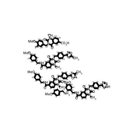 COc1ccc(CN)cc1.COc1ccc(CNC(=O)c2ccc3c(c2)c(=O)n(Cc2ccc(-c4nc(C)no4)cc2)c(=O)n3C)cc1.COc1ccc(CNC(=O)c2ccc3c(c2)c(=O)n(Cc2ccc(-c4nn[nH]n4)cc2)c(=O)n3C)cc1.COc1ccc(CNC(=O)c2ccc3c(c2)c(=O)n(Cc2ccc(-c4noc(C)n4)cc2)c(=O)n3C)cc1.COc1ccc(Cn2c(=O)c3cc(C(=O)O)ccc3n(C)c2=O)cc1F